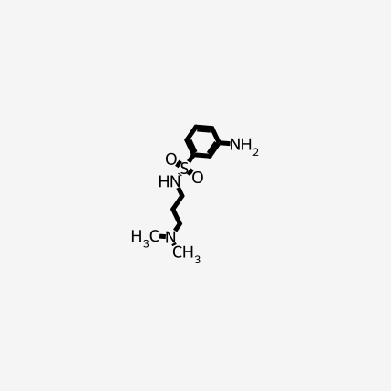 CN(C)CCCNS(=O)(=O)c1cccc(N)c1